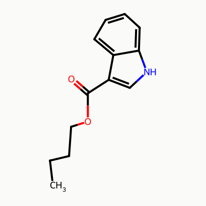 CCCCOC(=O)c1c[nH]c2ccccc12